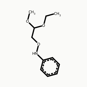 CCOC(CONc1ccccc1)OC